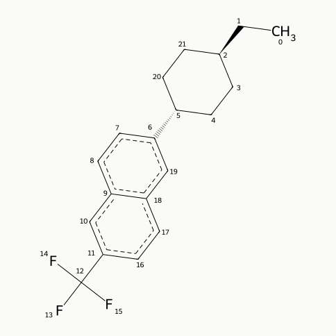 CC[C@H]1CC[C@H](c2ccc3cc(C(F)(F)F)ccc3c2)CC1